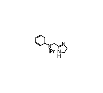 CC(C)N(CC1=NCCN1)c1ccccc1